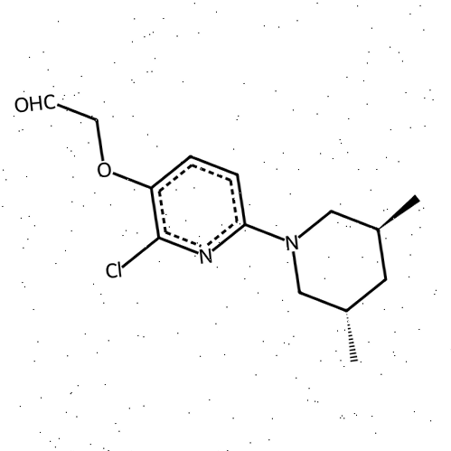 C[C@H]1C[C@H](C)CN(c2ccc(OCC=O)c(Cl)n2)C1